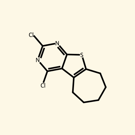 Clc1nc(Cl)c2c3c(sc2n1)CCCCC3